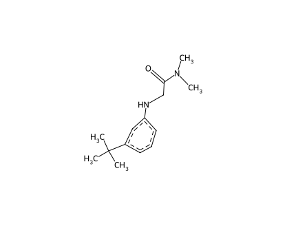 CN(C)C(=O)CNc1cccc(C(C)(C)C)c1